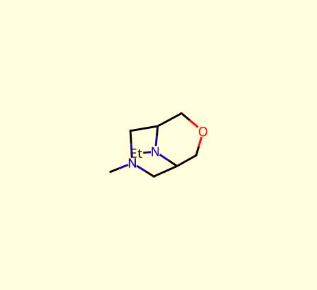 CCN1C2COCC1CN(C)C2